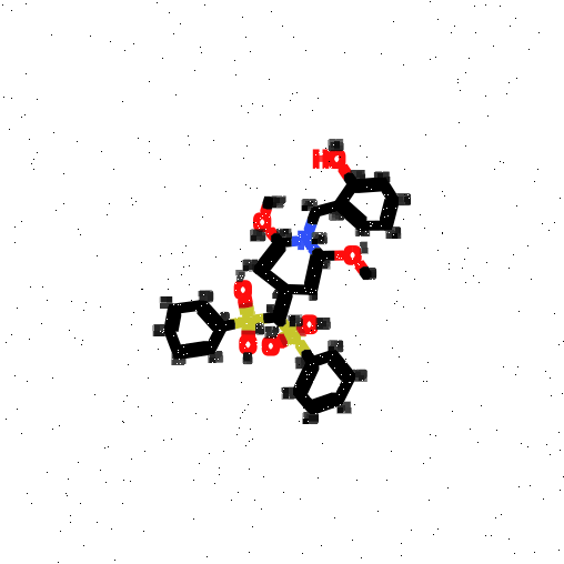 COC1=CC(=C(S(=O)(=O)c2ccccc2)S(=O)(=O)c2ccccc2)C=C(OC)N1Cc1ccccc1O